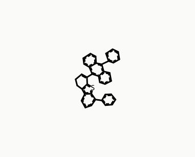 C1=C(c2c3ccccc3c(-c3ccccc3)c3ccccc23)c2sc3c(-c4ccccc4)cccc3c2CC1